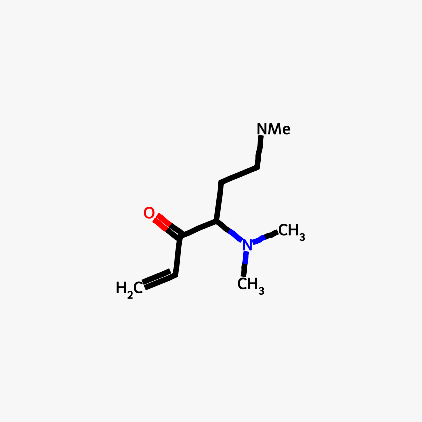 C=CC(=O)C(CCNC)N(C)C